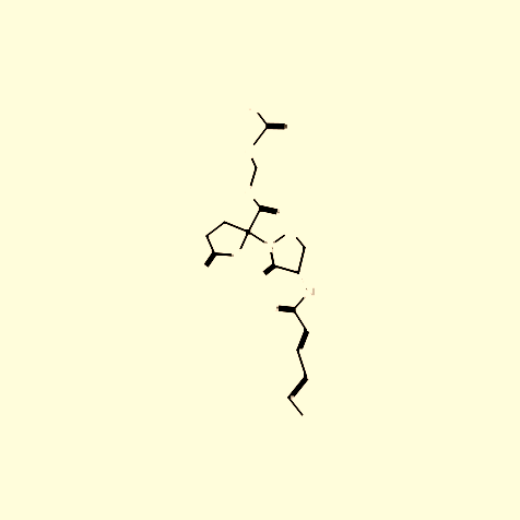 CC=CC=CC(=O)N[C@H]1CON(C2(C(=O)OCOC(=O)C(C)(C)C)CCC(=O)O2)C1=O